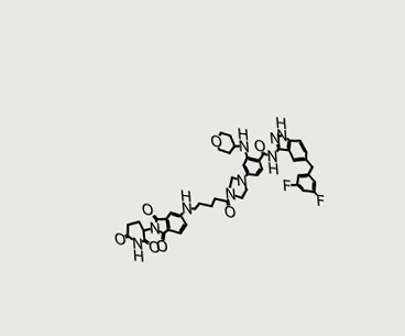 O=C1CCC(N2C(=O)c3ccc(NCCCCC(=O)N4CCN(c5ccc(C(=O)Nc6n[nH]c7ccc(Cc8cc(F)cc(F)c8)cc67)c(NC6CCOCC6)c5)CC4)cc3C2=O)C(=O)N1